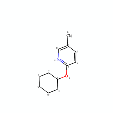 N#Cc1ccc(OC2CCCCC2)nc1